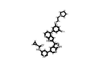 O=C(Nc1cncc(-c2cnc3[nH]nc(-c4cc5c(-c6cc(F)cc(OCCN7CCCC7)c6)ccnc5[nH]4)c3c2)c1)C1CC1